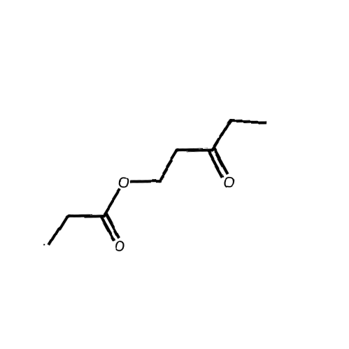 [CH2]CC(=O)OCCC(=O)CC